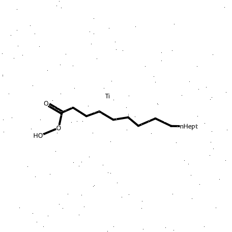 CCCCCCCCCCCCCCCC(=O)OO.[Ti]